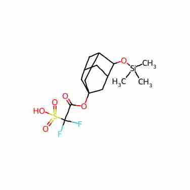 C[Si](C)(C)OC1C2CC3CC1CC(OC(=O)C(F)(F)S(=O)(=O)O)(C3)C2